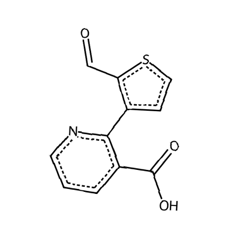 O=Cc1sccc1-c1ncccc1C(=O)O